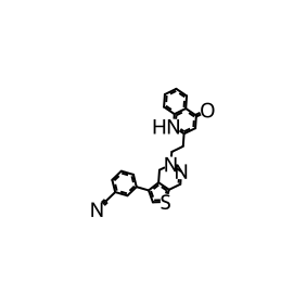 N#Cc1cccc(-c2csc3c2CN(CCc2cc(=O)c4ccccc4[nH]2)N=C3)c1